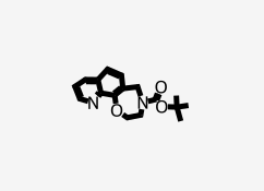 CC(C)(C)OC(=O)N1CCOc2c(ccc3cccnc23)C1